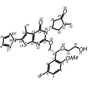 COc1ccc(F)cc1[C@H](COc1nc2sc(-n3nccn3)c(C)c2c(=O)n1[C@@H]1CC(=O)N(C)C1)OCCO